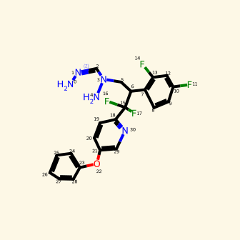 N/N=C\N(N)CC(c1ccc(F)cc1F)C(F)(F)c1ccc(Oc2ccccc2)cn1